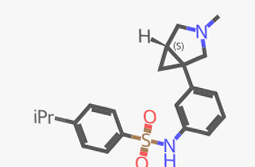 CC(C)c1ccc(S(=O)(=O)Nc2cccc(C34C[C@@H]3CN(C)C4)c2)cc1